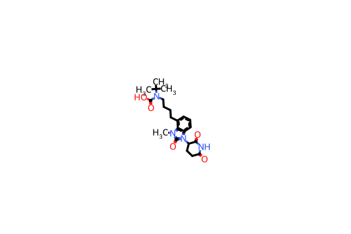 Cn1c(=O)n(C2CCC(=O)NC2=O)c2cccc(CCCCN(C(=O)O)C(C)(C)C)c21